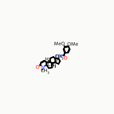 COc1ccc(C(=O)NC2CC[C@H]3[C@@H]4CCC5N(C)C(=O)C=C[C@]5(C)[C@@H]4CC[C@]23C)cc1OC